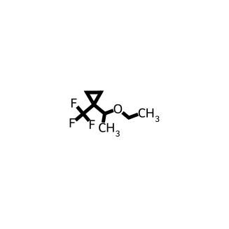 CCOC(C)C1(C(F)(F)F)CC1